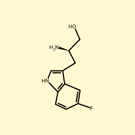 N[C@@H](CO)Cc1c[nH]c2ccc(F)cc12